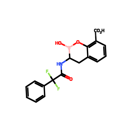 O=C(O)c1cccc2c1OB(O)C(NC(=O)C(F)(F)c1ccccc1)C2